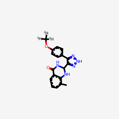 [2H]C([2H])([2H])Oc1ccc(-c2n[nH]nc2C2NC(=O)c3cccc(C)c3N2)cc1